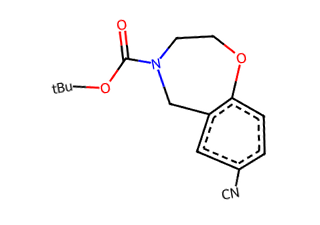 [C-]#[N+]c1ccc2c(c1)CN(C(=O)OC(C)(C)C)CCO2